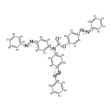 O=C(Oc1ccc(/N=N/c2ccccc2)cc1)N(c1ccc(/N=N/c2ccccc2)cc1)c1ccc(/N=N/c2ccccc2)cc1